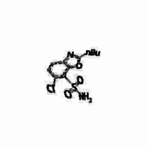 CCCCc1nc2ccc(Cl)c(S(N)(=O)=O)c2o1